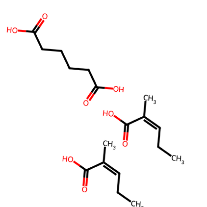 CCC=C(C)C(=O)O.CCC=C(C)C(=O)O.O=C(O)CCCCC(=O)O